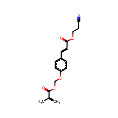 C=C(C)C(=O)OCOc1ccc(/C=C/C(=O)OCCC#N)cc1